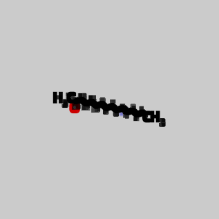 CCCC/C=C/CCCCCCCCC(C)=O